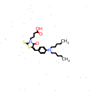 CCCCCN(CCCCC)c1ccc(C=C2SC(=S)N(CCCC(=O)O)C2=O)cc1